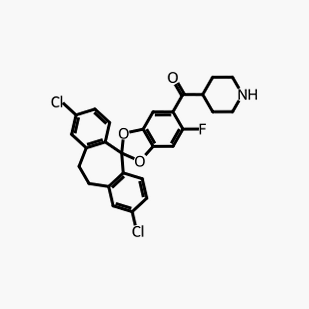 O=C(c1cc2c(cc1F)OC1(O2)c2ccc(Cl)cc2CCc2cc(Cl)ccc21)C1CCNCC1